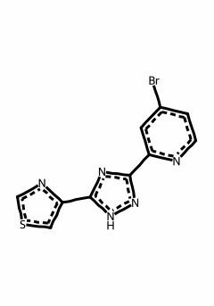 Brc1ccnc(-c2n[nH]c(-c3cscn3)n2)c1